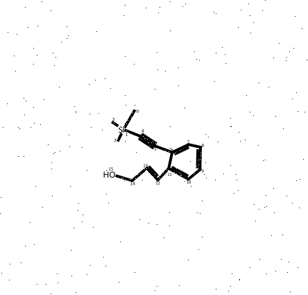 C[Si](C)(C)C#Cc1ccccc1/C=C/CO